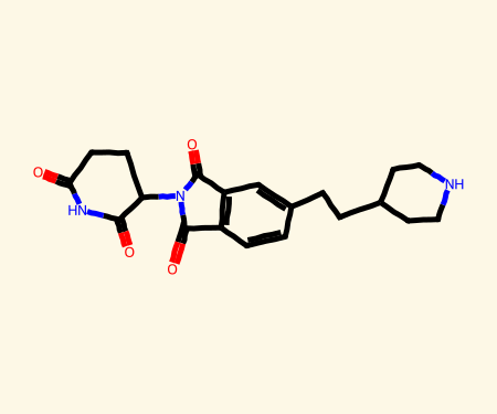 O=C1CCC(N2C(=O)c3ccc(CCC4CCNCC4)cc3C2=O)C(=O)N1